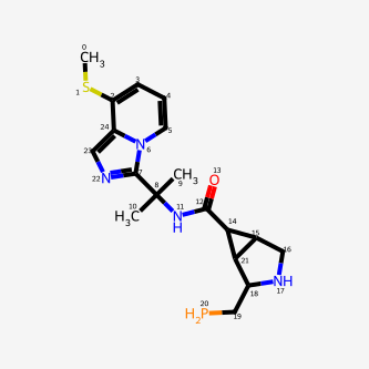 CSc1cccn2c(C(C)(C)NC(=O)C3C4CNC(CP)C43)ncc12